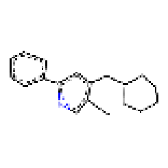 Cc1cnc(-c2ccccc2)cc1CC1CCCCC1